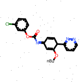 CCCCOC1=C/C(=N/C(=O)Oc2cccc(Cl)c2)C=CC1c1cccnn1